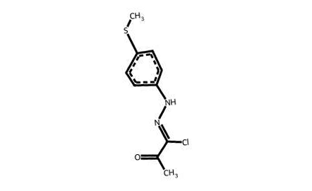 CSc1ccc(NN=C(Cl)C(C)=O)cc1